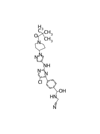 CC(C)(C)C(=O)N1CCC(n2cc(Nc3ncc(Cl)c(-c4ccc(C(O)NCC#N)cc4)n3)cn2)CC1